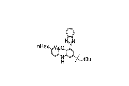 CCCCCCc1ccc(Nc2cc(C(C)(C)CC(C)(C)C)cc(-n3nc4ccccc4n3)c2OC)cc1